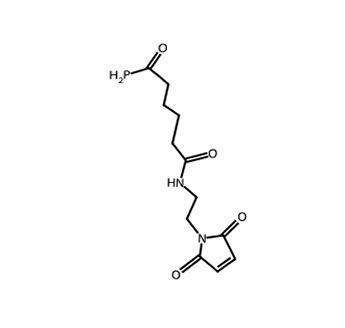 O=C(P)CCCCC(=O)NCCN1C(=O)C=CC1=O